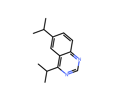 CC(C)c1ccc2ncnc(C(C)C)c2c1